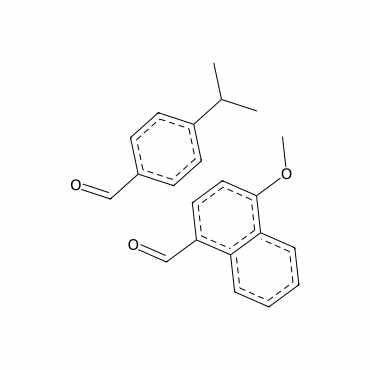 CC(C)c1ccc(C=O)cc1.COc1ccc(C=O)c2ccccc12